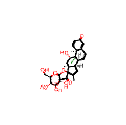 C[C@@H]1C[C@H]2[C@@H]3CCC4=CC(=O)C=C[C@]4(C)[C@@]3(F)[C@@H](O)C[C@]2(C)[C@@]1(OC1O[C@H](CO)[C@H](O)[C@H](O)[C@H]1O)C(=O)CO